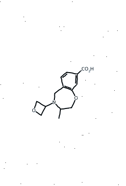 CC1COc2cc(C(=O)O)ccc2CN1C1COC1